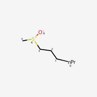 [CH2]CCCCC[S+](C)[O-]